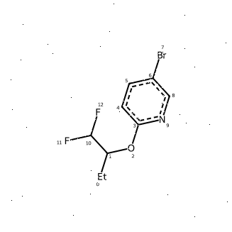 CCC(Oc1ccc(Br)cn1)C(F)F